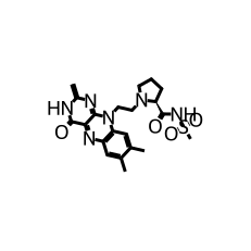 C=c1nc2c(c(=O)[nH]1)=Nc1cc(C)c(C)cc1N2CCN1CCC[C@H]1C(=O)NS(C)(=O)=O